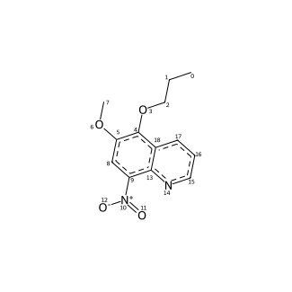 CCCOc1c(OC)cc([N+](=O)[O-])c2ncccc12